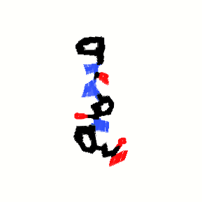 O=C(O)CCc1ccccc1NC(=O)c1cccc(NC(=O)NCc2ccccc2)c1